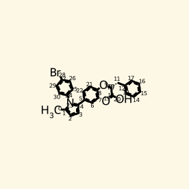 Cc1ccc(-c2ccc(O[C@H](Cc3ccccc3)C(=O)O)cc2)n1-c1ccc(Br)cc1